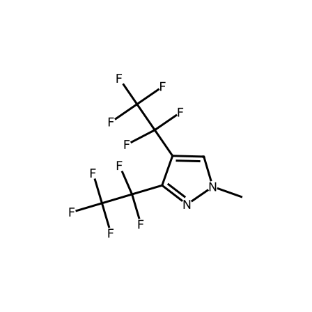 Cn1cc(C(F)(F)C(F)(F)F)c(C(F)(F)C(F)(F)F)n1